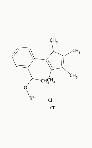 CC1=C(C)C(C)C(c2ccccc2C(C)[O][Ti+2])=C1C.[Cl-].[Cl-]